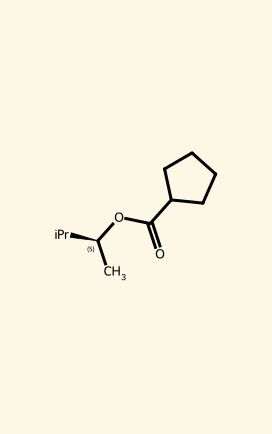 CC(C)[C@H](C)OC(=O)C1CCCC1